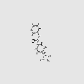 O=C(Cc1ccccc1)c1ccc(C2CCC2)cc1